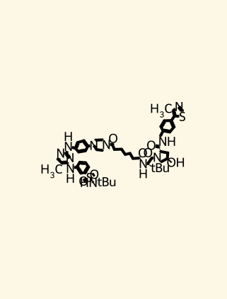 Cc1cnc(Nc2ccc(N3CCN(C(=O)CCCCCC(=O)N[C@H](C(=O)N4C[C@H](O)C[C@H]4C(=O)NCc4ccc(-c5scnc5C)cc4)C(C)(C)C)CC3)cc2)nc1Nc1cccc(S(=O)(=O)NC(C)(C)C)c1